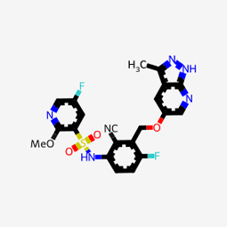 COc1ncc(F)cc1S(=O)(=O)Nc1ccc(F)c(COc2cnc3[nH]nc(C)c3c2)c1C#N